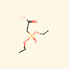 BC(=O)CP(=O)(OCC)OCC